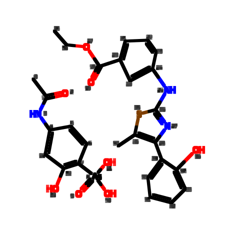 CC(=O)Nc1ccc([As](=O)(O)O)c(O)c1.CCOC(=O)c1cccc(Nc2nc(-c3ccccc3O)c(C)s2)c1